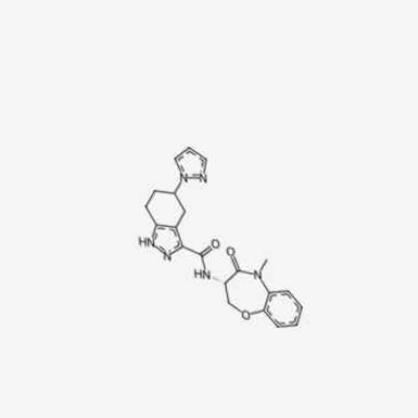 CN1C(=O)[C@@H](NC(=O)c2n[nH]c3c2CC(n2cccn2)CC3)COc2ccccc21